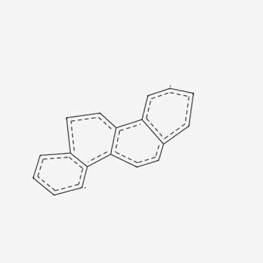 [c]1ccc2ccc3c4[c]cccc4ccc3c2c1